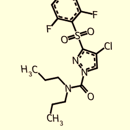 CCCN(CCC)C(=O)n1cc(Cl)c(S(=O)(=O)c2c(F)cccc2F)n1